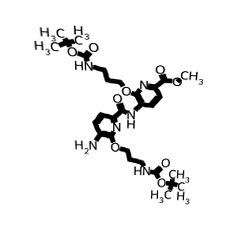 COC(=O)c1ccc(NC(=O)c2ccc(N)c(OCCCNC(=O)OC(C)(C)C)n2)c(OCCCNC(=O)OC(C)(C)C)n1